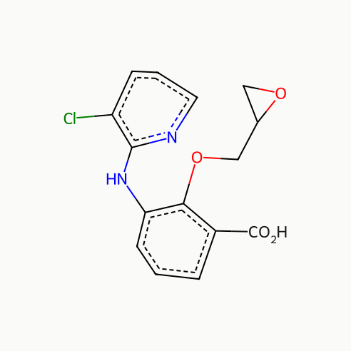 O=C(O)c1cccc(Nc2ncccc2Cl)c1OCC1CO1